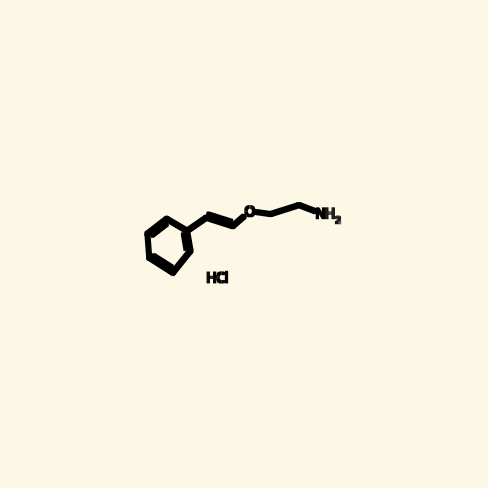 Cl.NCCO/C=C/c1ccccc1